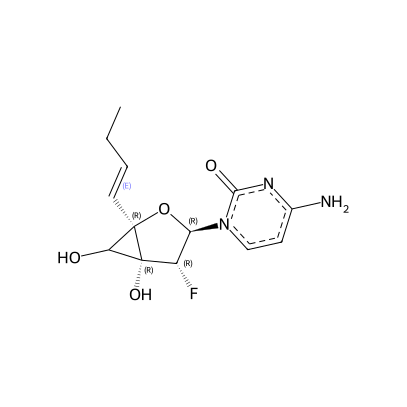 CC/C=C/[C@]12O[C@@H](n3ccc(N)nc3=O)[C@H](F)[C@@]1(O)C2O